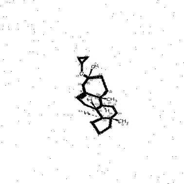 C[C@@]12CCC[C@H]1[C@@H]1CC=C3C[C@](O)(OC4CC4)CC[C@]3(C)[C@H]1CC2